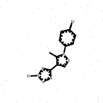 CCc1ccc(-n2ncc(-c3nnn(CC)n3)c2I)cc1